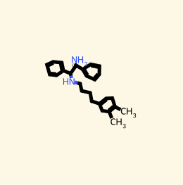 CC1=C(C)CC(CCCCNC(c2ccccc2)[C@@H](N)c2ccccc2)=CC1